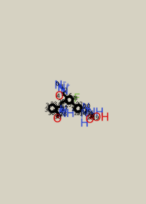 [N-]=[N+]=NC(=O)c1cc(F)c(-c2ccc3[nH]c(NC(=O)O)nc3c2)cc1Cc1n[nH]c(=O)c2c1=CCCC=2